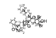 NC(=O)N(c1ccccc1)C1CCN(C(=O)N[C@H](Cc2cc(Br)c(O)c(Br)c2)C(=O)N2CCC(N3CCCCC3)CC2)CC1